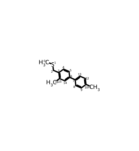 CSCc1ccc(-c2ccc(C)cc2)cc1C